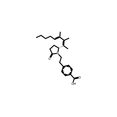 CCCCC=C(C)C(C)=C(C)[C@H]1CCC(=O)N1CCc1ccc(C(=O)O)cc1